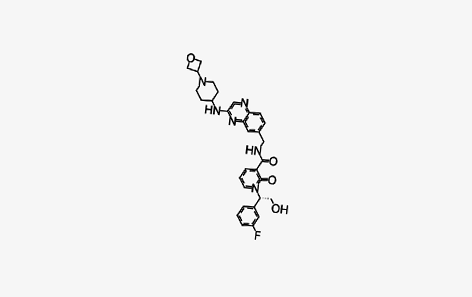 O=C(NCc1ccc2ncc(NC3CCN(C4COC4)CC3)nc2c1)c1cccn([C@H](CO)c2cccc(F)c2)c1=O